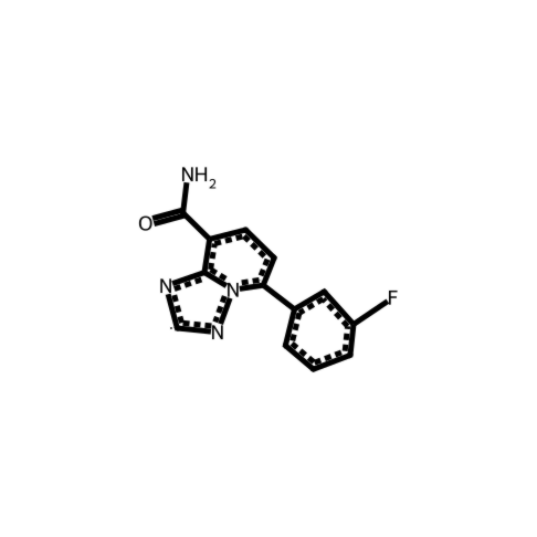 NC(=O)c1ccc(-c2cccc(F)c2)n2n[c]nc12